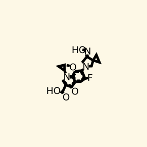 COc1c(N2CC(=NO)C3(CC3)C2)c(F)cc2c(=O)c(C(=O)O)cn(C3CC3)c12